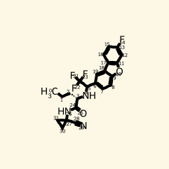 CCC[C@H](NC(c1ccc2oc3cc(F)ccc3c2c1)C(F)(F)F)C(=O)NC1(C#N)CC1